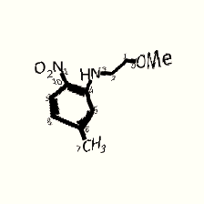 COCCNc1cc(C)ccc1[N+](=O)[O-]